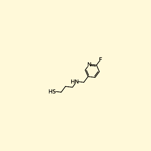 Fc1ccc(CNCCCS)cn1